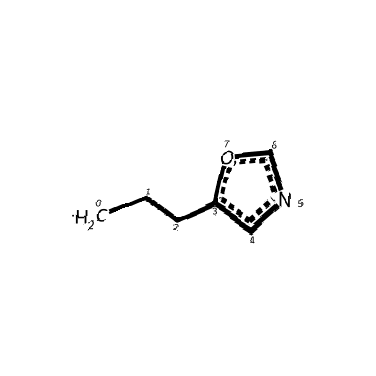 [CH2]CCc1cnco1